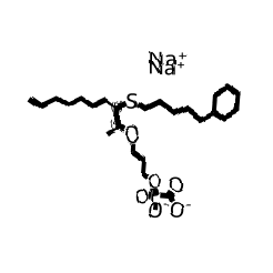 CCCCCCC[C@@H](SCCCCCC1CCCCC1)[C@H](C)OCCCOP(=O)([O-])C(=O)[O-].[Na+].[Na+]